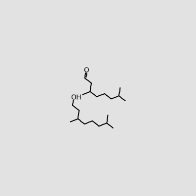 CC(C)CCCC(C)CC=O.CC(C)CCCC(C)CCO